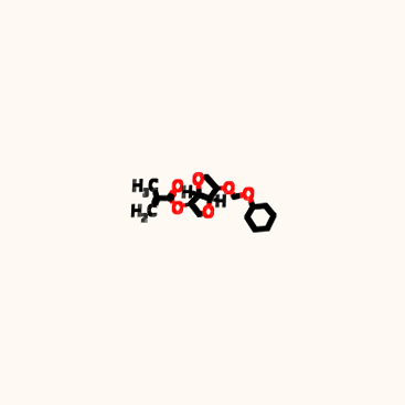 C=C(C)C(=O)O[C@H]1CO[C@H]2[C@H]1OC[C@H]2OCOC1CCCCC1